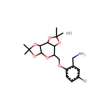 CC1(C)OC2OC(COc3ccc(Cl)cc3CN)C3OC(C)(C)OC3C2O1.Cl